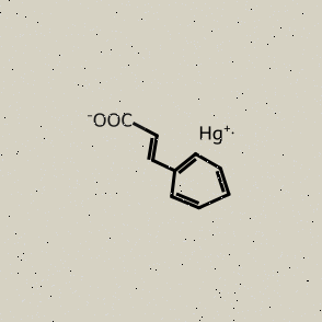 O=C([O-])C=Cc1ccccc1.[Hg+]